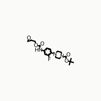 CC(C)(C)OC(=O)N1CCN(c2ccc(NC(=O)OCC3CO3)cc2F)CC1